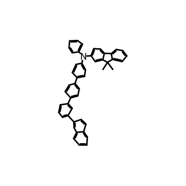 CC1(C)c2ccccc2-c2ccc(N(c3ccccc3)c3ccc(-c4ccc(-c5cccc(-c6ccc7ccccc7c6)c5)cc4)cc3)cc21